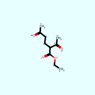 CCOC(=O)C(CCC(C)=O)C(C)=O